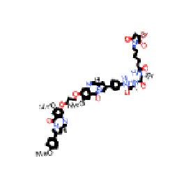 COc1ccc(C2=CN3C(=O)c4cc(OC)c(OCCCOc5cc6c(cc5OC)C(=O)N5C=C(c7ccc(NC(=O)[C@@H](C)NC(=O)[C@H](NC(=O)CCCCCN8C(=O)C=C(Br)C8=O)C(C)C)cc7)C[C@H]5C=N6)cc4N=C[C@@H]3C2)cc1